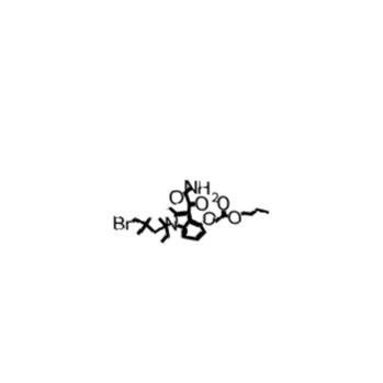 CCCCOC(=O)COc1cccc2c1c(C(=O)C(N)=O)c(C)n2C(C)(CC)CC(C)(C)CBr